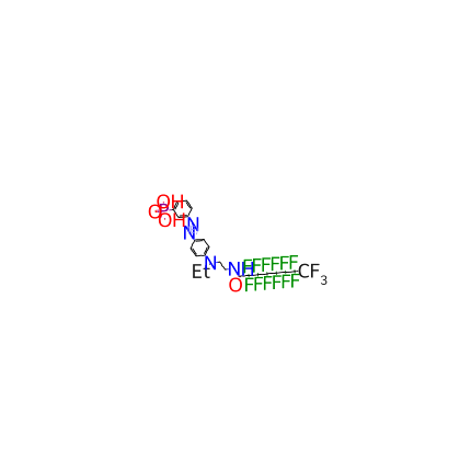 CCN(CCNC(=O)C(F)(F)C(F)(F)C(F)(F)C(F)(F)C(F)(F)C(F)(F)C(F)(F)F)c1ccc(/N=N/c2cccc(P(=O)(O)O)c2)cc1